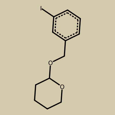 Ic1cccc(COC2CCCCO2)c1